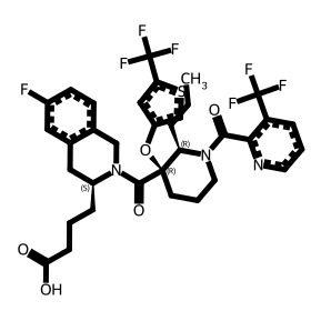 CCC[C@H]1N(C(=O)c2ncccc2C(F)(F)F)CCC[C@]1(Oc1csc(C(F)(F)F)c1)C(=O)N1Cc2ccc(F)cc2C[C@@H]1CCCC(=O)O